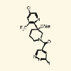 COC1(c2ncc(Cl)cc2C(F)(F)F)CCCN(C(=O)c2cnnc(I)c2)C1